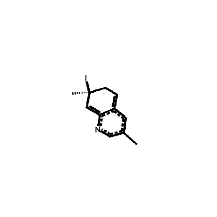 Cc1cnc2c(c1)=CC[C@](C)(I)C=2